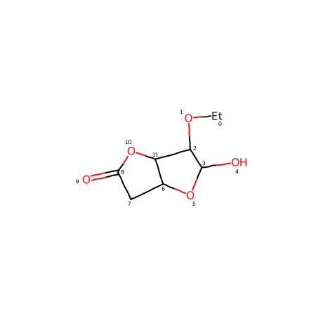 CCOC1C(O)OC2CC(=O)OC21